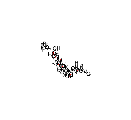 CC[C@H](C)[C@H](NC(=O)[C@H](CC(C)C)N(C)C(=O)C[C@@H](C(=O)N(C)C)N(C)C(=O)[C@H](C1CCCC1)N(C)C(=O)C1(NC(=O)[C@@H]2CCCN2C(=O)OCc2ccccc2)CCCC1)C(=O)N(C)[C@@H](C)C(=O)N1CC[C@H]1C(=O)N(CC)[C@@H](Cc1ccc(C)cc1)C(=O)N(C)CC(=O)N[C@@H](CCc1cc(F)c(C(F)(F)F)c(F)c1)C(=O)O